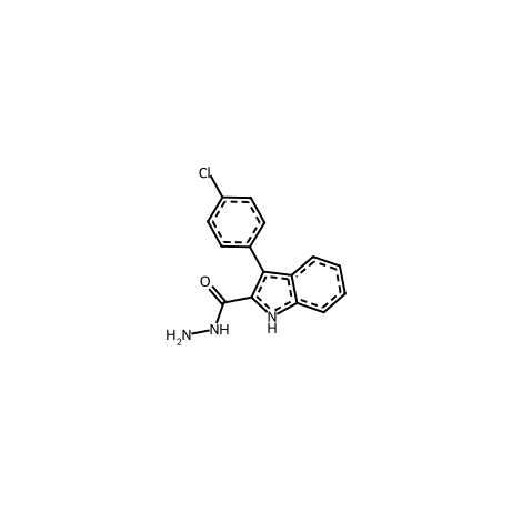 NNC(=O)c1[nH]c2ccccc2c1-c1ccc(Cl)cc1